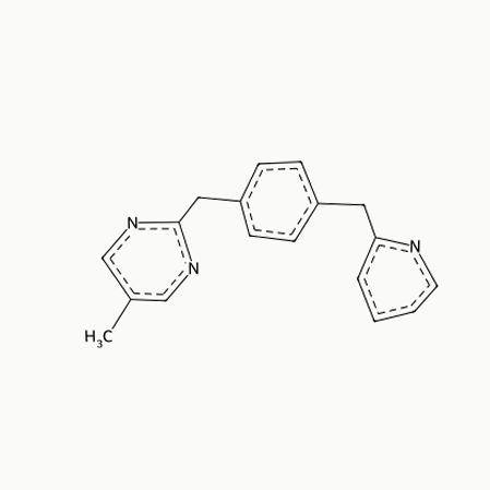 Cc1cnc(Cc2ccc(Cc3ccccn3)cc2)nc1